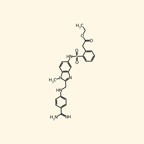 CCOC(=O)Cc1ccccc1S(=O)(=O)Nc1ccc2c(c1)nc(CNc1ccc(C(=N)N)cc1)n2C